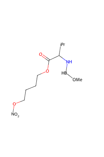 COBNC(C(=O)OCCCCO[N+](=O)[O-])C(C)C